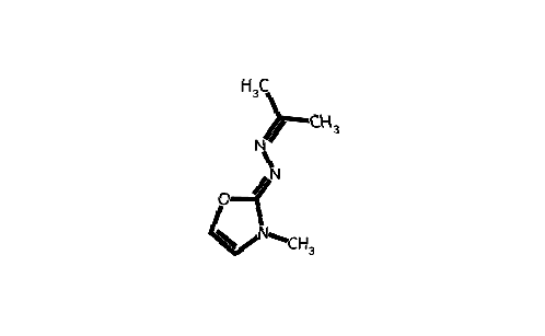 CC(C)=N/N=c1\occn1C